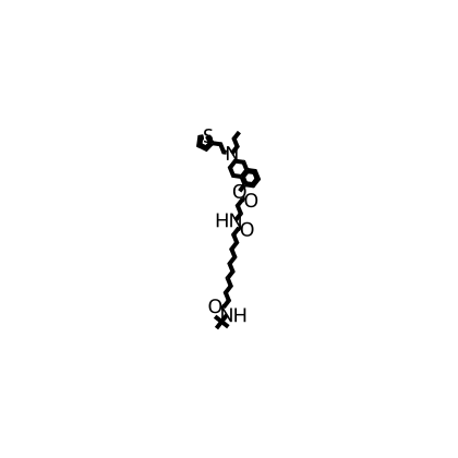 CCCN(CCc1cccs1)[C@H]1CCc2c(cccc2OC(=O)CCNC(=O)CCCCCCCCCCC(=O)NC(C)(C)C)C1